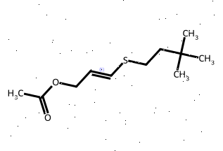 CC(=O)OC/C=C/SCCC(C)(C)C